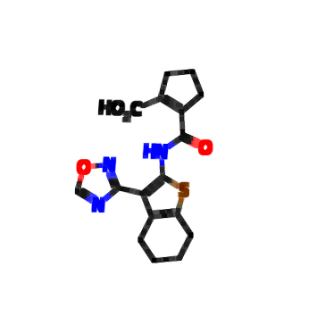 O=C(O)C1=C(C(=O)Nc2sc3c(c2-c2ncon2)CCCC3)CCC1